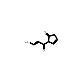 CCCC=CC(=O)C1C=CCC1=O